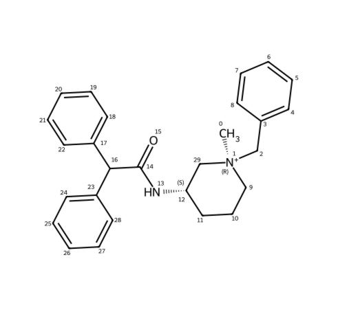 C[N@+]1(Cc2ccccc2)CCC[C@H](NC(=O)C(c2ccccc2)c2ccccc2)C1